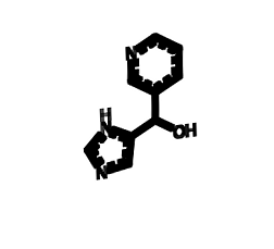 OC(c1cccnc1)c1cnc[nH]1